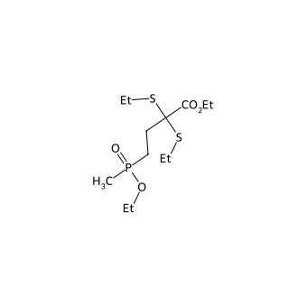 CCOC(=O)C(CCP(C)(=O)OCC)(SCC)SCC